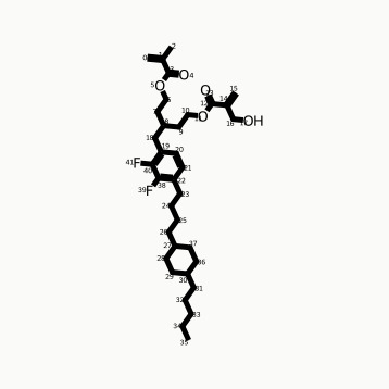 C=C(C)C(=O)OCCC(CCOC(=O)C(=C)CO)Cc1ccc(CCCCC2CCC(CCCCC)CC2)c(F)c1F